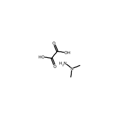 CN(C)N.O=C(O)C(=O)O